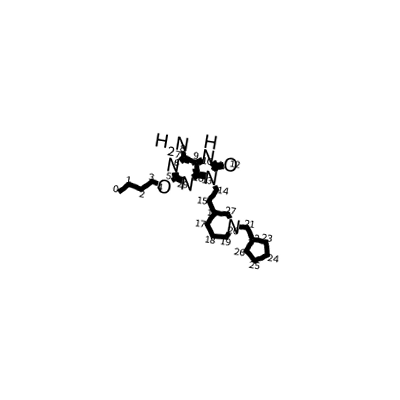 CCCCOc1nc(N)c2[nH]c(=O)n(CCC3CCCN(CC4CCCC4)C3)c2n1